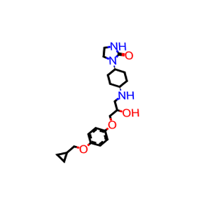 O=C1NCCN1[C@H]1CC[C@@H](NCC(O)COc2ccc(OCC3CC3)cc2)CC1